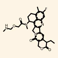 CCC1C(=O)OCc2c1cc1n(c2=O)Cc2c-1nc1cc(F)c(C)c3c1c2C(N(C)C(=O)COCNC)CC3